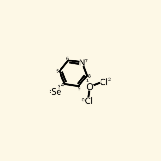 ClOCl.[Se].c1ccncc1